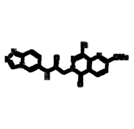 CCc1nn(CC(=O)Nc2ccc3nncn3c2)c(=O)c2ccc(OC)nc12